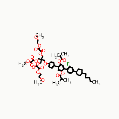 C=C(C)C(=O)Oc1cc(-c2ccc(C3CCC(CCCCC)CC3)cc2F)c(OC(=O)C(=C)C)cc1-c1ccc(OCC(COC(=O)C(=O)OC)(COC(=O)C(=O)OCCOC)COC(=O)C(=O)OCCOC)cc1